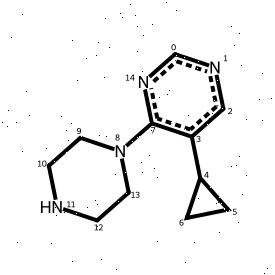 c1ncc(C2CC2)c(N2CCNCC2)n1